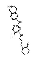 O=C1CCCCN1CCCNc1nc(Nc2ccc3c(c2)CCNC3)ncc1C(F)(F)F